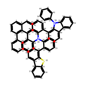 c1ccc(-c2cccc3cccc(-c4ccccc4N(c4ccccc4-c4cccc5c4sc4ccccc45)c4ccccc4-c4cccc5c6ccccc6n(-c6ccccc6)c45)c23)cc1